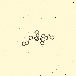 c1cc(-c2ccc(N(c3ccccc3-c3ccc4sc5ccccc5c4c3)c3ccccc3-n3c4ccccc4c4ccccc43)cc2)cc(-c2ccc3ccccc3c2)c1